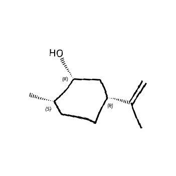 C=C(C)[C@@H]1CC[C@H](C)[C@H](O)C1